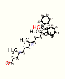 C/C(=C\CC/C(C)=C/CCC(C)(C)[Si](O)(c1ccccc1)c1ccccc1)CCC=O